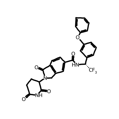 O=C1CCC(N2Cc3cc(C(=O)N[C@H](c4cccc(Oc5ccccc5)c4)C(F)(F)F)ccc3C2=O)C(=O)N1